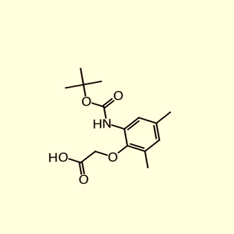 Cc1cc(C)c(OCC(=O)O)c(NC(=O)OC(C)(C)C)c1